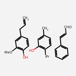 C=CCc1ccc(O)c(OC)c1.Cc1ccc(C(C)C)c(O)c1.O=CC=Cc1ccccc1